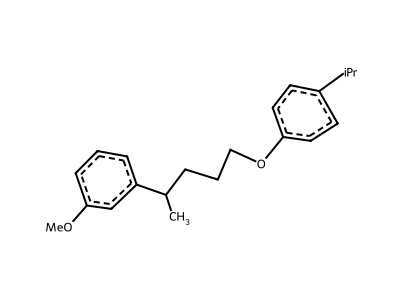 COc1cccc(C(C)CCCOc2ccc(C(C)C)cc2)c1